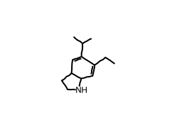 CCC1=CC2NCCC2C=C1C(C)C